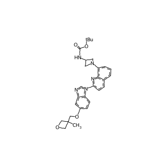 CC1(COc2ccc3c(c2)ncn3-c2ccc3cccc(N4CC(NC(=O)OC(C)(C)C)C4)c3n2)COC1